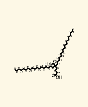 CCCCCCCCCCCCCCCCCCC(CCCCCCCCCCCCCCCCCC)(CCCC(=O)O)C(N)=O